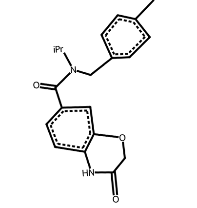 Cc1ccc(CN(C(=O)c2ccc3c(c2)OCC(=O)N3)C(C)C)cc1